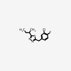 CCC(C)c1nnc(Cc2ccc(F)c(Cl)c2)s1